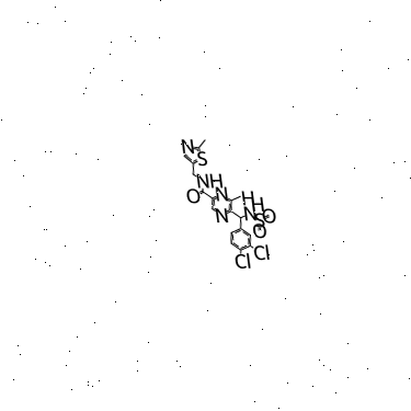 Cc1ncc(CNC(=O)c2cnc(C(N[SH](=O)=O)c3ccc(Cl)c(Cl)c3)c(C)n2)s1